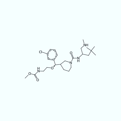 CNCC(CC(C)(C)C)NC(=O)N1CCCC([C@@H](OCCNC(=O)OC)c2cccc(Cl)c2)C1